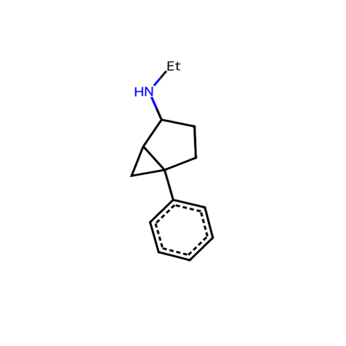 CCNC1CCC2(c3ccccc3)CC12